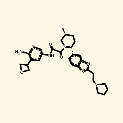 C[C@H]1CC[C@H](c2ccc3sc(CCN4CCCC4)nc3c2)N(C(=O)C(=O)Nc2cnc(N)c(C3COC3)c2)C1